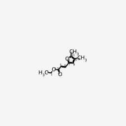 CCOC(=O)C=Cc1cc(C)c(C)o1